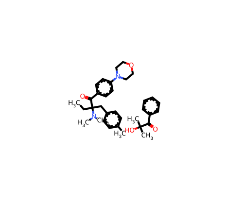 CC(C)(O)C(=O)c1ccccc1.CCC(Cc1ccc(C)cc1)(C(=O)c1ccc(N2CCOCC2)cc1)N(C)C